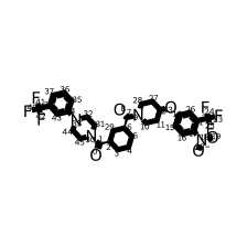 O=C([C@@H]1CCC[C@H](C(=O)N2CCC(Oc3ccc([N+](=O)[O-])c(C(F)(F)F)c3)CC2)C1)N1CCN(c2cccc(C(F)(F)F)c2)CC1